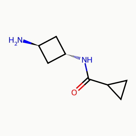 N[C@H]1C[C@H](NC(=O)C2CC2)C1